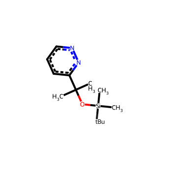 CC(C)(O[Si](C)(C)C(C)(C)C)c1cccnn1